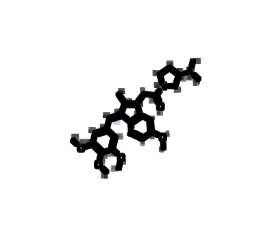 COc1ccc2c(c1)C(CC(=O)N1CC[C@@H](N(C)C)C1)=C(C)/C2=C/c1cc(OC)c(OC)c(OC)c1